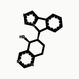 O[C@@H]1c2cncnc2CC[C@@H]1C1c2ccccc2-c2cncn21